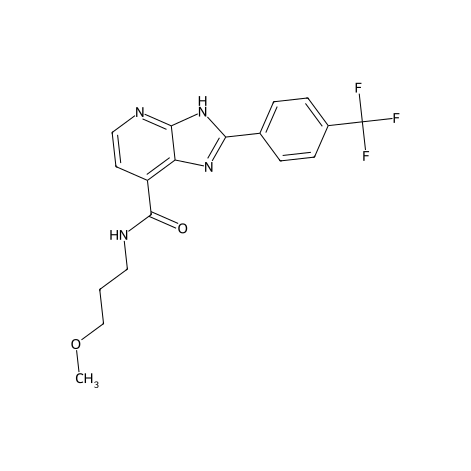 COCCCNC(=O)c1ccnc2[nH]c(-c3ccc(C(F)(F)F)cc3)nc12